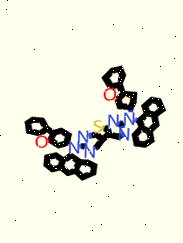 c1ccc2c(N(c3ccc4c(c3)oc3ccccc34)c3ncc4c(n3)sc3nc(N(c5ccc6c(c5)oc5ccccc56)c5c6ccccc6cc6ccccc56)ncc34)c3ccccc3cc2c1